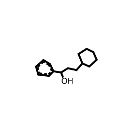 OC(CCC1CCCCC1)c1ccccc1